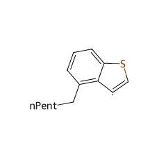 CCCCCCc1cccc2sc[c]c12